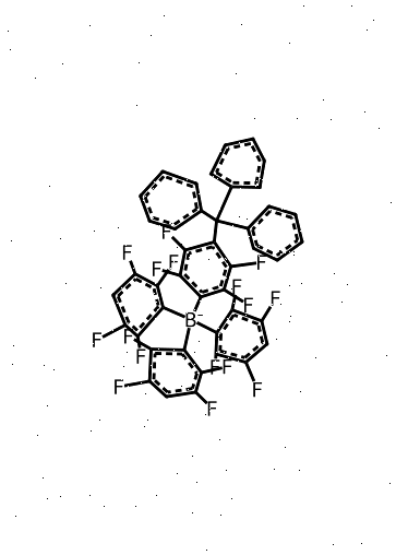 Fc1cc(F)c(F)c([B-](c2c(F)c(F)cc(F)c2F)(c2c(F)c(F)cc(F)c2F)c2c(F)c(F)c(C(c3ccccc3)(c3ccccc3)c3ccccc3)c(F)c2F)c1F